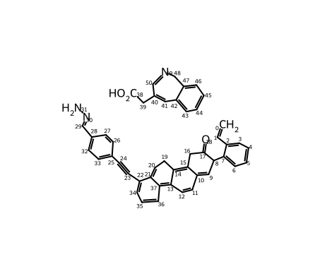 C=Cc1ccccc1C1C=c2ccc3c(c2CC1=O)CC=c1c(C#Cc2ccc(C=NN)cc2)cccc1=3.O=C(O)CC1=Cc2ccccc2CN=C1